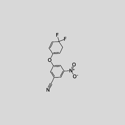 N#Cc1cc(OC2=CCC(F)(F)C=C2)cc([N+](=O)[O-])c1